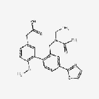 CCN(Cc1cc(-c2ncco2)ccc1-c1cc(CC(=O)O)ccc1OC)C(C)=O